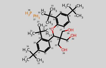 CC(C)(C)c1ccc(OC(c2ccc(C(C)(C)C)cc2C(C)(C)C)C(CO)(CO)CO)c(C(C)(C)C)c1.P.P